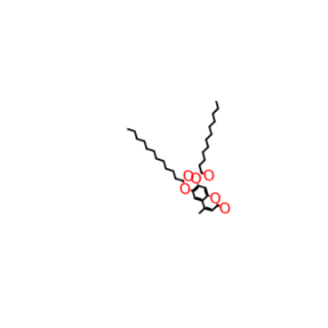 CCCCCCCCCCCC(=O)Oc1cc2oc(=O)cc(C)c2cc1OC(=O)CCCCCCCCCCC